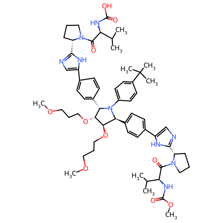 COCCCO[C@H]1[C@H](OCCCOC)[C@H](c2ccc(-c3cnc([C@@H]4CCCN4C(=O)[C@@H](NC(=O)OC)C(C)C)[nH]3)cc2)N(c2ccc(C(C)(C)C)cc2)[C@H]1c1ccc(-c2cnc([C@@H]3CCCN3C(=O)[C@@H](NC(=O)O)C(C)C)[nH]2)cc1